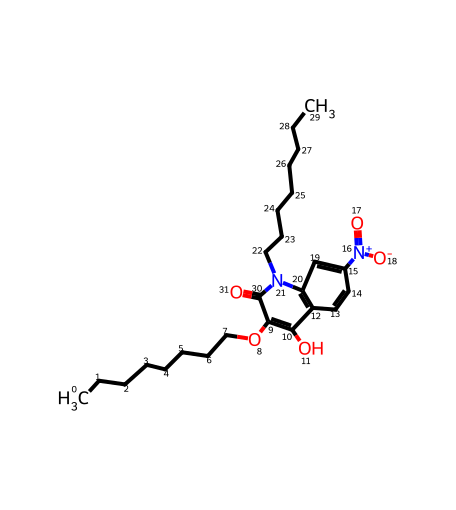 CCCCCCCCOc1c(O)c2ccc([N+](=O)[O-])cc2n(CCCCCCCC)c1=O